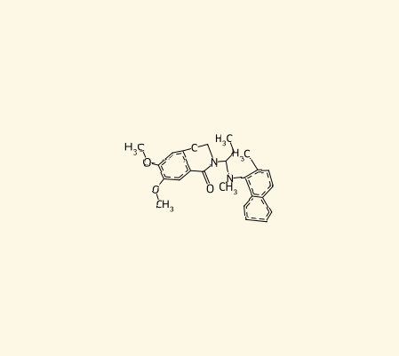 CCC(N1CCc2cc(OC)c(OC)cc2C1=O)N(C)c1c(C)ccc2ccccc12